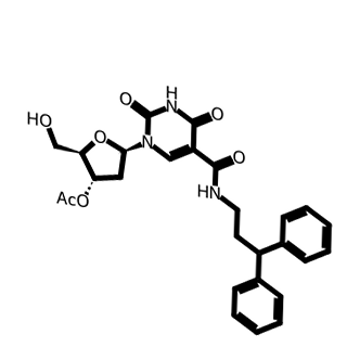 CC(=O)O[C@H]1C[C@H](n2cc(C(=O)NCCC(c3ccccc3)c3ccccc3)c(=O)[nH]c2=O)O[C@@H]1CO